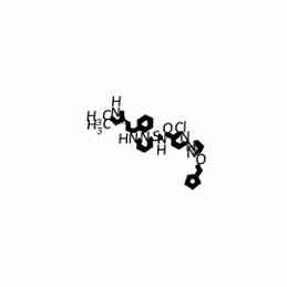 CC1(C)C[C@H](CCC(Nc2cccc(SNC(=O)c3ccc(-n4ccc(OCCC5CCCC5)n4)nc3Cl)n2)c2ccccc2)CN1